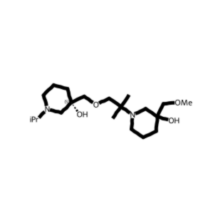 COCC1(O)CCCN(C(C)(C)COC[C@]2(O)CCCN(C(C)C)C2)C1